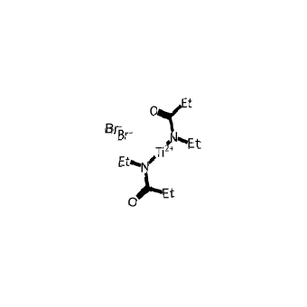 CCC(=O)[N](CC)[Ti+2][N](CC)C(=O)CC.[Br-].[Br-]